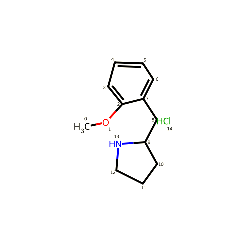 COc1ccccc1CC1CCCN1.Cl